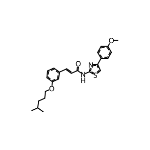 COc1ccc(-c2csc(NC(=O)C=Cc3cccc(OCCCC(C)C)c3)n2)cc1